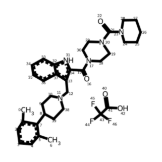 Cc1cccc(C)c1C1CCN(Cc2c(C(=O)N3CCN(C(=O)N4CCCCC4)CC3)[nH]c3ccccc23)CC1.O=C(O)C(F)(F)F